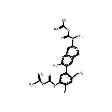 C=C(C)OC(=O)Nc1cc(-c2cc3cnc(N(C)C(=O)OC(=C)C)cc3nc2C)c(C)cc1F